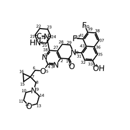 O=C1c2nc(OCC3(CN4CCOCC4)CC3)nc(N3CC4CCC3CN4)c2CCN1c1cc(O)cc2ccc(F)c(F)c12